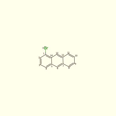 Brc1cccc2cc3[c]cccc3cc12